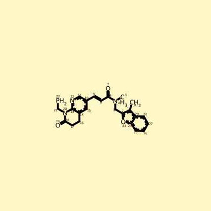 Cc1c(CN(C)C(=O)C=Cc2cnc3c(c2)CCC(=O)N3CP)oc2ccccc12